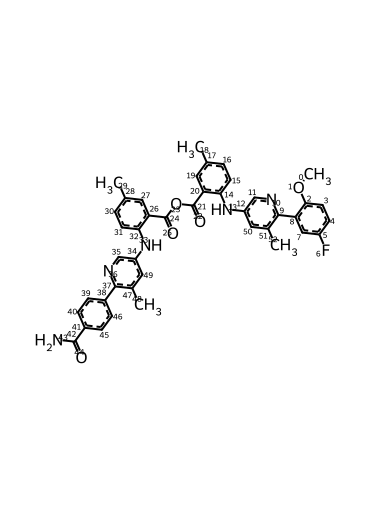 COc1ccc(F)cc1-c1ncc(Nc2ccc(C)cc2C(=O)OC(=O)c2cc(C)ccc2Nc2cnc(-c3ccc(C(N)=O)cc3)c(C)c2)cc1C